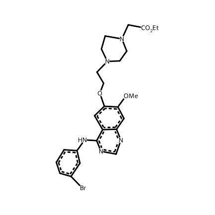 CCOC(=O)CN1CCN(CCOc2cc3c(Nc4cccc(Br)c4)ncnc3cc2OC)CC1